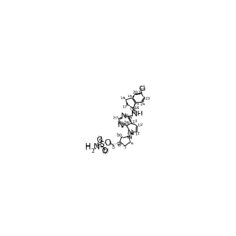 NS(=O)(=O)OC[C@H]1CC[C@H](n2ccc3c(N[C@H]4CCc5cc(Cl)ccc54)ncnc32)C1